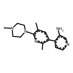 Cc1cc(-c2ccncc2N)c(C)nc1N1CCN(C)CC1